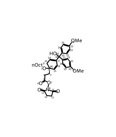 CCCCCCCCO[C@@]1(CCC(=O)ON2C(=O)CCC2=O)C=CC(C(O)(c2ccc(OC)cc2)c2ccc(OC)cc2)=CC1